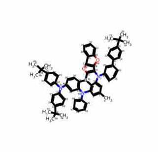 Cc1cc2c3c(c1)N(c1cccc(-c4ccc(C(C)(C)C)cc4)c1)c1c(oc4c1oc1ccccc14)B3c1ccc(N(c3ccc(C(C)(C)C)cc3)c3ccc(C(C)(C)C)cc3)cc1N2c1ccccc1